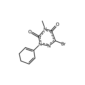 Cn1c(=O)c(Br)nn(C2=CCCC=C2)c1=O